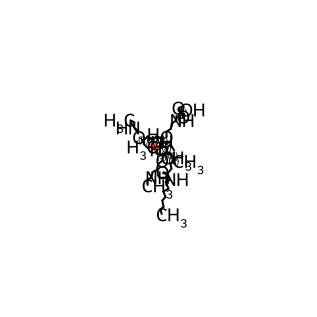 CCCCCCCCNC(=O)CC[C@@H](C)[C@H]1CC[C@H]2[C@@H]3[C@H](OCCCNCS(=O)(=O)O)C[C@@H]4C[C@H](OCNCC)CC[C@]4(C)[C@H]3C[C@H](OCCCNCC)[C@]12C